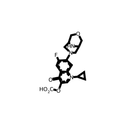 O=C(O)Oc1cn(C2CC2)c2cc(N3CC4COCC(C3)N4)c(F)cc2c1=O